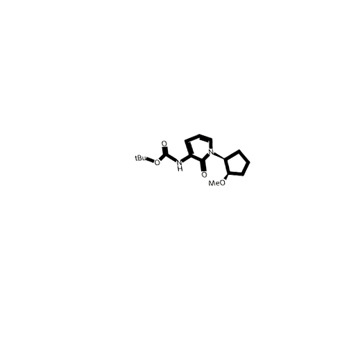 CO[C@@H]1CCC[C@@H]1n1cccc(NC(=O)OC(C)(C)C)c1=O